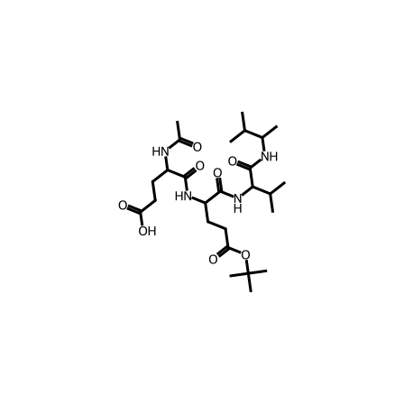 CC(=O)NC(CCC(=O)O)C(=O)NC(CCC(=O)OC(C)(C)C)C(=O)NC(C(=O)NC(C)C(C)C)C(C)C